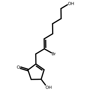 O=C1CC(O)C=C1CC(Br)=CCCCCO